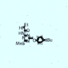 CCNC(=O)Nc1nc(COc2ccc(C(C)(C)C)cc2)nc(SC)n1